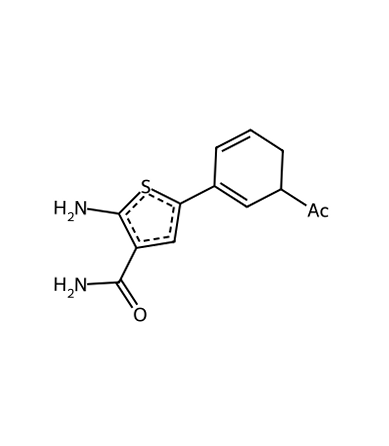 CC(=O)C1C=C(c2cc(C(N)=O)c(N)s2)C=CC1